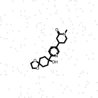 CN1CCC(c2ccc(C3(O)CCC4(CC3)OCCO4)nc2)CC1=O